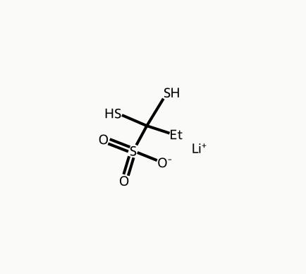 CCC(S)(S)S(=O)(=O)[O-].[Li+]